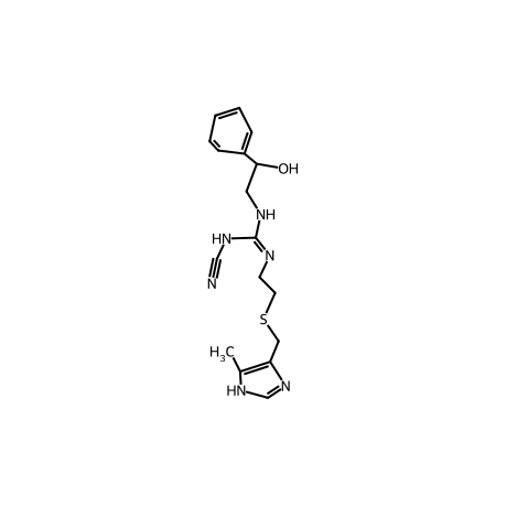 Cc1[nH]cnc1CSCC/N=C(\NC#N)NCC(O)c1ccccc1